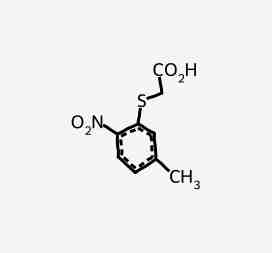 Cc1ccc([N+](=O)[O-])c(SCC(=O)O)c1